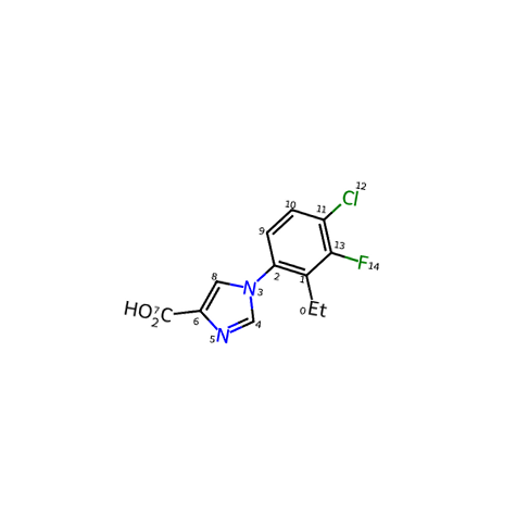 CCc1c(-n2cnc(C(=O)O)c2)ccc(Cl)c1F